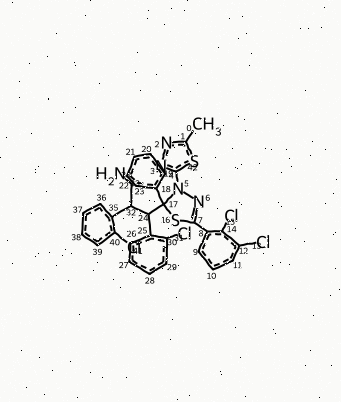 Cc1nnc(N2N=C(c3cccc(Cl)c3Cl)SC2(c2ccccc2)C(c2ccccc2Cl)C(CN)c2ccccc2Cl)s1